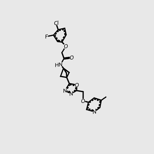 Cc1cncc(OCc2nnc(C34CC(NC(=O)COc5ccc(Cl)c(F)c5)(C3)C4)o2)c1